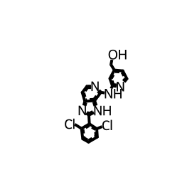 OCc1ccnc(Nc2nccc3nc(-c4c(Cl)cccc4Cl)[nH]c23)c1